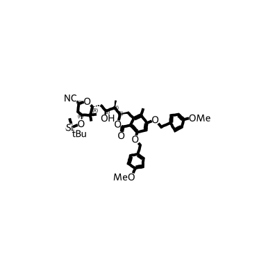 COc1ccc(COc2cc(OCc3ccc(OC)cc3)c3c(c2C)C[C@H]([C@H](C)[C@@H](O)C[C@H]2O[C@H](C#N)C[C@@H](O[Si](C)(C)C(C)(C)C)C2(C)C)OC3=O)cc1